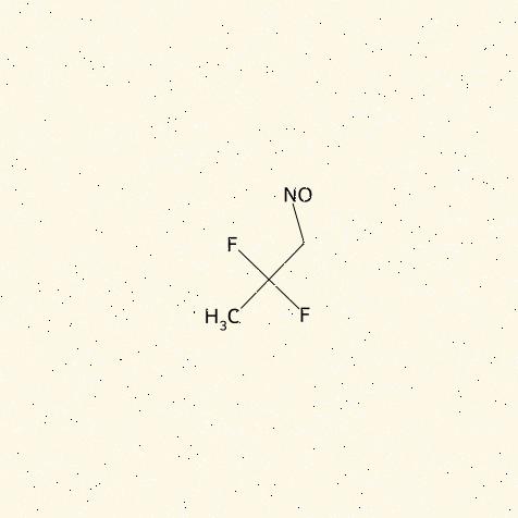 CC(F)(F)CN=O